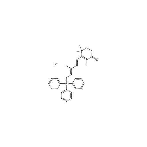 CC1=C(/C=C/C(C)=C/C[P+](c2ccccc2)(c2ccccc2)c2ccccc2)C(C)(C)CCC1=O.[Br-]